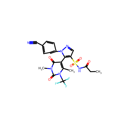 CCC(=O)NS(=O)(=O)c1cnn(-c2ccc(C#N)cc2)c1-c1c(C)n(C(F)(F)F)c(=O)n(C)c1=O